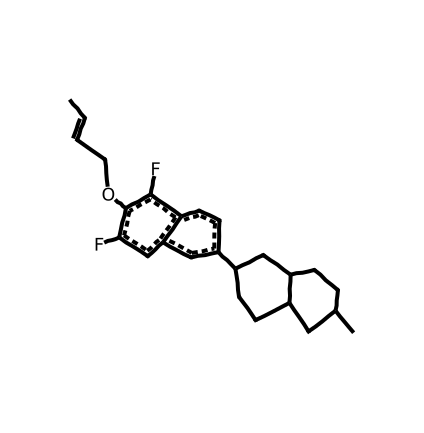 C/C=C/COc1c(F)cc2cc(C3CCC4CC(C)CCC4C3)ccc2c1F